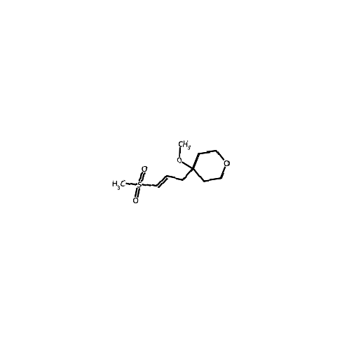 COC1(CC=CS(C)(=O)=O)CCOCC1